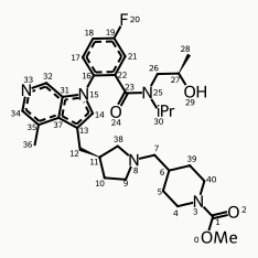 COC(=O)N1CCC(CN2CC[C@@H](Cc3cn(-c4ccc(F)cc4C(=O)N(C[C@@H](C)O)C(C)C)c4cncc(C)c34)C2)CC1